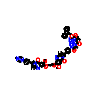 COc1cc2c(cc1OCCCOc1cc3c(cc1OC)C(=O)N1C=C(c4ccc(N5CCN(C)CC5)cc4)C[C@H]1C=N3)N=C[C@@H]1CC(c3ccc(NC(=O)C(C)NC(=O)C(NC(=O)OCC4c5ccccc5-c5ccccc54)C(C)C)cc3)=CN1C2=O